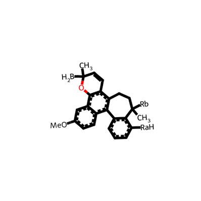 BC1(C)C=Cc2c3c(c4ccc(OC)cc4c2O1)-c1ccc[c]([RaH])c1[C](C)([Rb])CC3